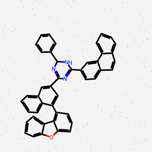 c1ccc(C2N=C(c3cc(-c4cccc5oc6ccccc6c45)c4ccccc4c3)N=C(c3ccc4ccc5ccccc5c4c3)N2)cc1